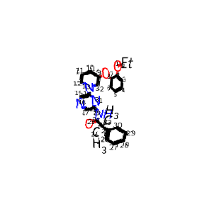 CCOc1ccccc1OC1CCCN(c2cncc(NC(=O)C(C)(C)c3ccccc3)n2)C1